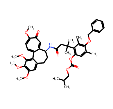 COc1cc2c(c(OC)c1OC)-c1ccc(OC)c(=O)cc1[C@@H](NC(=O)CC(C)(C)c1c(OC(=O)OCC(C)C)cc(C)c(OCc3ccccc3)c1C)CC2